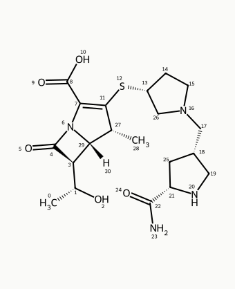 C[C@@H](O)[C@H]1C(=O)N2C(C(=O)O)=C(S[C@@H]3CCN(C[C@@H]4CN[C@H](C(N)=O)C4)C3)[C@H](C)[C@H]12